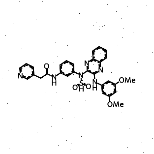 COc1cc(Nc2nc3ccccc3nc2N(c2cccc(NC(=O)Cc3cccnc3)c2)[SH](=O)=O)cc(OC)c1